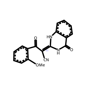 COc1ccccc1C(=O)/C(C#N)=C1/NC(=O)c2ccccc2N1